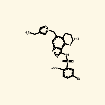 CCc1ccc(OC)c(S(=O)(=O)Nc2noc3cc(Cn4cc(CN)cn4)c4c(c23)OCCC4)c1.Cl